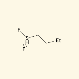 CCCC[SH](F)#P